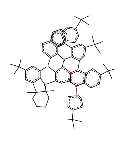 CC(C)(C)c1ccc(N(c2ccc(C(C)(C)C)cc2)c2cc3c4c(c2)N2c5c(cc(C(C)(C)C)cc5C5(C)CCCCC25C)B4c2ccc4sc5cc(C(C)(C)C)ccc5c4c2N3c2c(-c3ccccc3)cc(C(C)(C)C)cc2-c2ccccc2)cc1